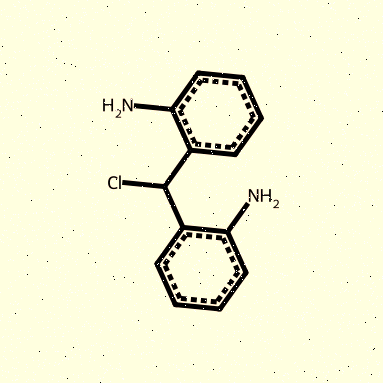 Nc1ccccc1C(Cl)c1ccccc1N